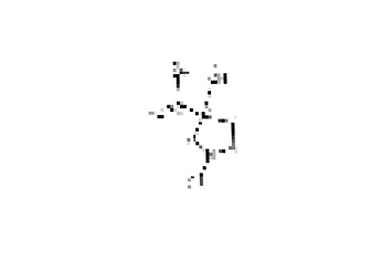 [2H]N1CCC(O)(C(=O)O)C1